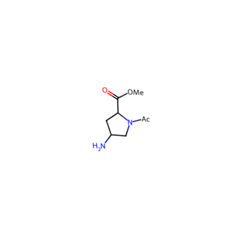 COC(=O)C1CC(N)CN1C(C)=O